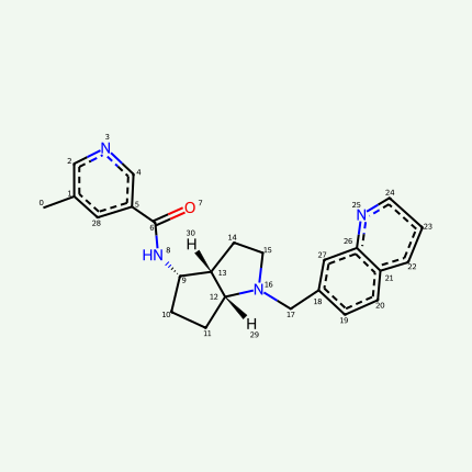 Cc1cncc(C(=O)N[C@H]2CC[C@@H]3[C@H]2CCN3Cc2ccc3cccnc3c2)c1